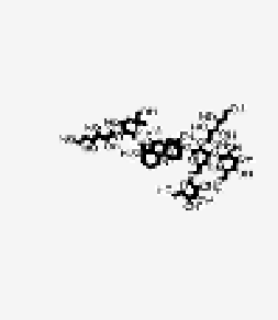 C=C1CC23CCC4[C@](C)(C(=O)OC5OC(CO)(CO)CC(O)C5OC(O)C(O)C(O)C(O)CCO)CCC[C@@]4(C)[C@@H]2CCC1(OC(O)C(OC(O)C(O)C(O)C(O)CCO)C(OC1OC(CO)C(O)C(O)C1O)C(O)CCOC1OC(CO)C(O)C(O)C1O)C3